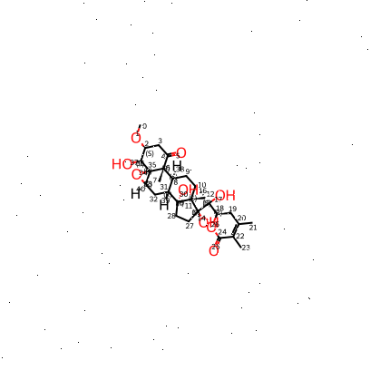 CO[C@H]1CC(=O)[C@]2(C)[C@H]3CC[C@]4(C)[C@](O)([C@@](C)(O)[C@H]5CC(C)=C(C)C(=O)O5)CC[C@@]4(O)[C@@H]3C[C@H]3O[C@]32[C@H]1O